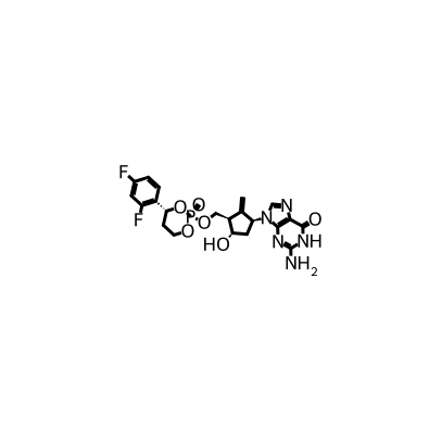 C=C1[C@H](COP2(=O)OCC[C@H](c3ccc(F)cc3F)O2)[C@@H](O)C[C@@H]1n1cnc2c(=O)[nH]c(N)nc21